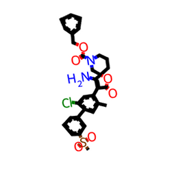 Cc1cc(-c2cccc(S(C)(=O)=O)c2)c(Cl)cc1C1=C(N)C2(CCCN(C(=O)OCc3ccccc3)C2)OC1=O